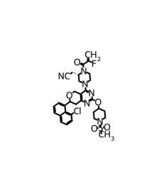 C=C(F)C(=O)N1CCN(c2nc(OC3CCN(S(C)(=O)=O)CC3)nc3c2COC(c2cccc4cccc(Cl)c24)C3)C[C@@H]1CC#N